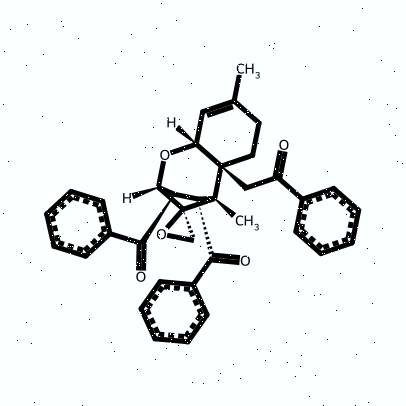 CC1=C[C@H]2O[C@@H]3[C@H](C(=O)c4ccccc4)[C@@H](C(=O)c4ccccc4)[C@](C)([C@@]2(CC(=O)c2ccccc2)CC1)[C@]31CO1